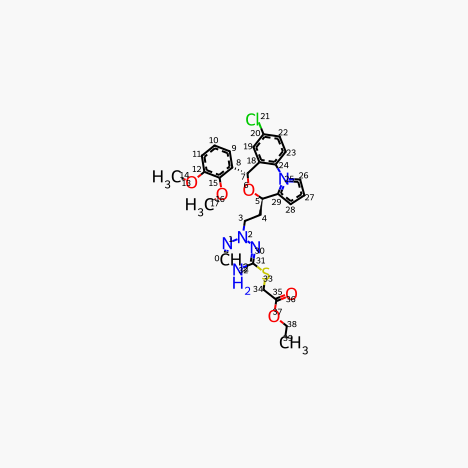 C=NN(CC[C@H]1O[C@H](c2cccc(OC)c2OC)c2cc(Cl)ccc2-n2cccc21)/N=C(\N)SCC(=O)OCC